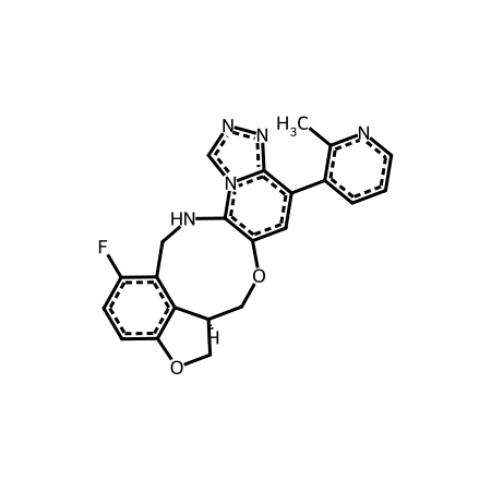 Cc1ncccc1-c1cc2c(n3cnnc13)NCc1c(F)ccc3c1[C@H](CO3)CO2